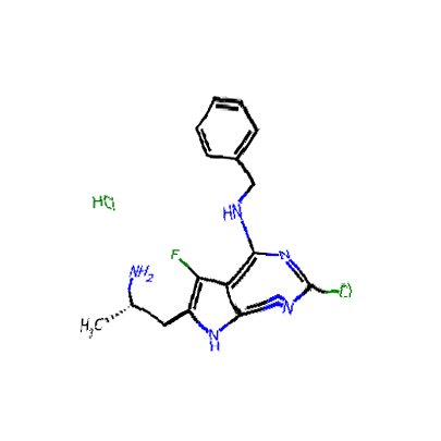 C[C@H](N)Cc1[nH]c2nc(Cl)nc(NCc3ccccc3)c2c1F.Cl